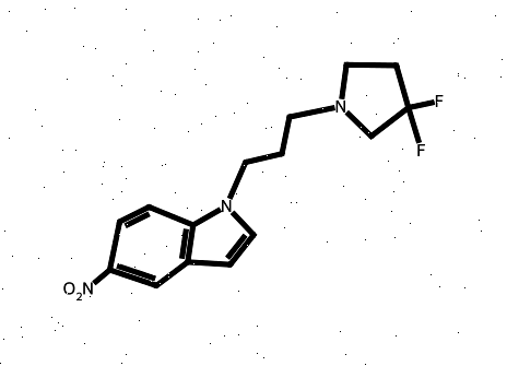 O=[N+]([O-])c1ccc2c(ccn2CCCN2CCC(F)(F)C2)c1